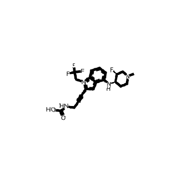 CN1CC[C@@H](Nc2cccc3c2cc(C#CCNC(=O)O)n3CC(F)(F)F)[C@@H](F)C1